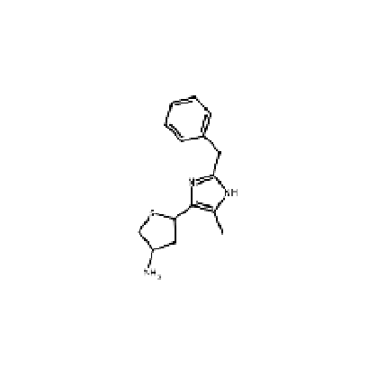 Cc1[nH]c(Cc2ccccc2)nc1C1CC(N)CS1